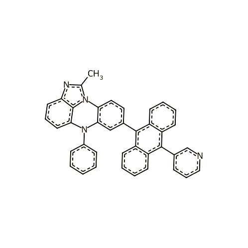 Cc1nc2cccc3c2n1-c1ccc(-c2c4ccccc4c(-c4cccnc4)c4ccccc24)cc1N3c1ccccc1